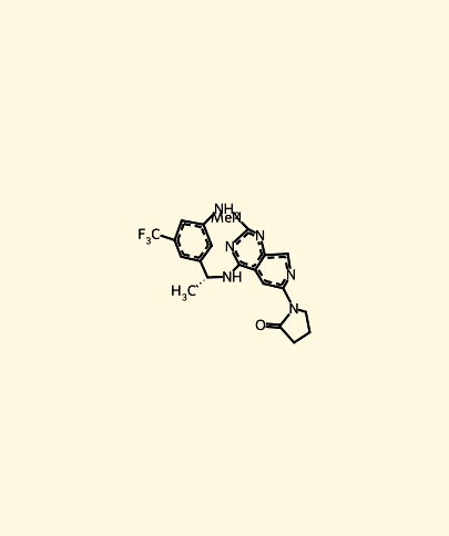 CNc1nc(N[C@H](C)c2cc(N)cc(C(F)(F)F)c2)c2cc(N3CCCC3=O)ncc2n1